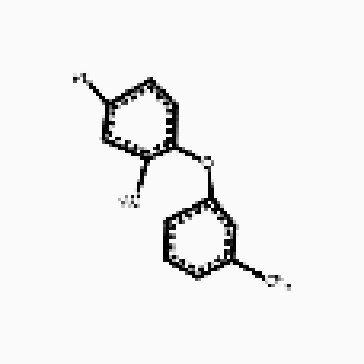 CCc1ccc(Oc2cccc(C(F)(F)F)c2)c(O)c1